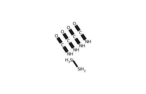 N=C=O.N=C=O.N=C=O.N=C=O.[SiH3][SiH3]